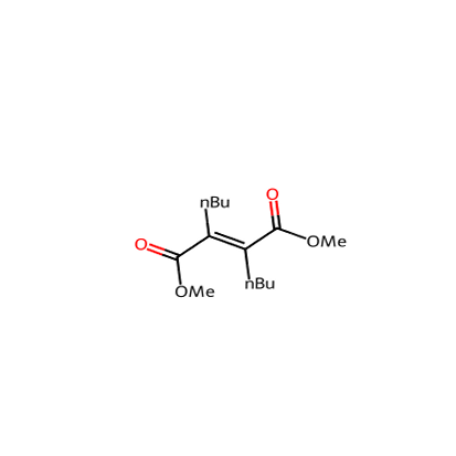 CCCCC(C(=O)OC)=C(CCCC)C(=O)OC